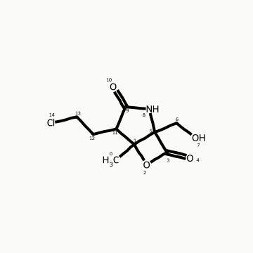 CC12OC(=O)C1(CO)NC(=O)C2CCCl